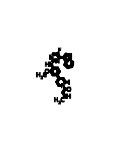 CNCC(=O)N1CCC(c2ccc(Nc3ncc(F)c(-c4cnn5ccccc45)n3)c(OC)c2)CC1I